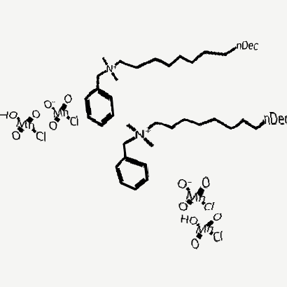 CCCCCCCCCCCCCCCCCC[N+](C)(C)Cc1ccccc1.CCCCCCCCCCCCCCCCCC[N+](C)(C)Cc1ccccc1.[O]=[Mn](=[O])([O-])[Cl].[O]=[Mn](=[O])([O-])[Cl].[O]=[Mn](=[O])([OH])[Cl].[O]=[Mn](=[O])([OH])[Cl]